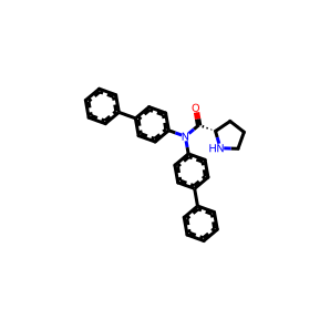 O=C([C@@H]1CCCN1)N(c1ccc(-c2ccccc2)cc1)c1ccc(-c2ccccc2)cc1